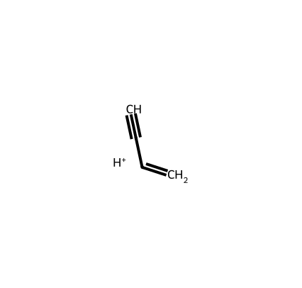 C#CC=C.[H+]